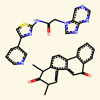 CC1C=c2c(ccc3c2=CC(=O)c2ccccc2-3)C(C)C1=O.O=C(Cn1cnc2ncncc21)Nc1nc(-c2cccnc2)cs1